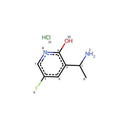 CC(N)c1cc(F)cnc1O.Cl